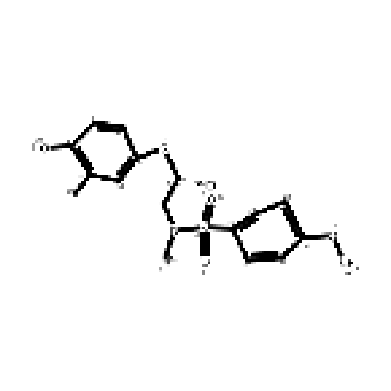 CCCN(C[C@@H](CC)Sc1ccc(O)c(C)c1)S(=O)(=O)c1ccc(OC(F)(F)F)cc1